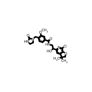 COc1cc(C(=O)NCC(O)c2cc3c(c(Cl)n2)OCC3(C)C)ccc1CN1CCNC1=O